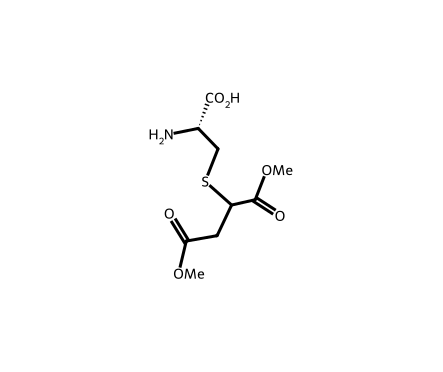 COC(=O)CC(SC[C@H](N)C(=O)O)C(=O)OC